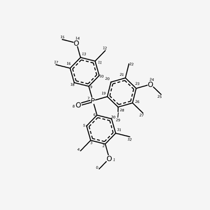 COc1c(C)cc(P(=O)(c2cc(C)c(OC)c(C)c2)c2cc(C)c(OC)c(C)c2I)cc1C